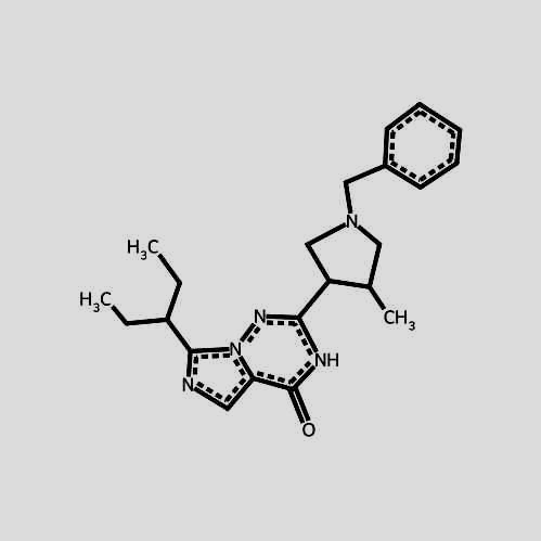 CCC(CC)c1ncc2c(=O)[nH]c(C3CN(Cc4ccccc4)CC3C)nn12